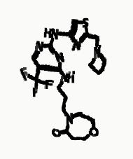 O=C1CCOCCN1CCCNc1nc(Nc2csc(CN3CCC3)n2)ncc1C(F)(F)F